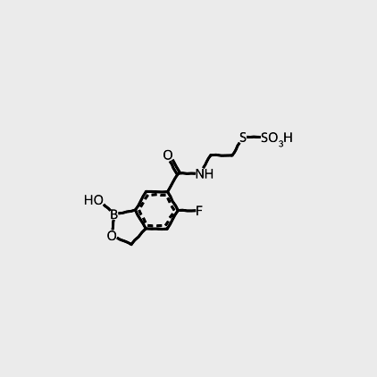 O=C(NCCSS(=O)(=O)O)c1cc2c(cc1F)COB2O